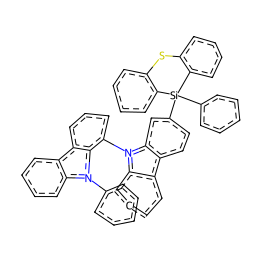 c1ccc(-n2c3ccccc3c3cccc(-n4c5ccccc5c5ccc([Si]6(c7ccccc7)c7ccccc7Sc7ccccc76)cc54)c32)cc1